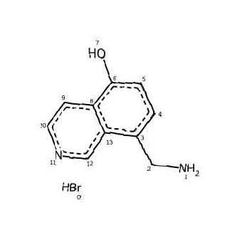 Br.NCc1ccc(O)c2ccncc12